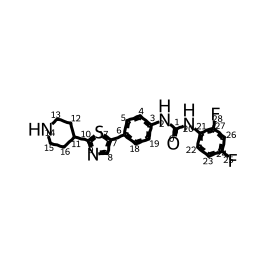 O=C(Nc1ccc(-c2cnc(C3CCNCC3)s2)cc1)Nc1ccc(F)cc1F